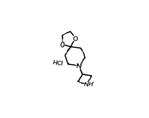 C1COC2(CCN(C3CNC3)CC2)O1.Cl